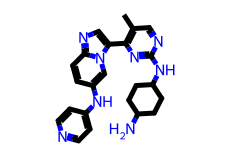 Cc1cnc(NC2CCC(N)CC2)nc1-c1cnc2ccc(Nc3ccncc3)cn12